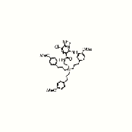 COC1=CCC(CCC[N+](CCCc2ccc(OC)cc2)(CCCc2ccc(OC)cc2)CCNC(=O)c2nc(Cl)c(N)nc2N)C=C1